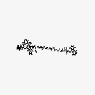 CC(C)(C)OC(=O)NCc1cc(Oc2cccc(C(=O)NCCOCCOCCOCCOCCOCCOCCOCCNC(=O)OCC3c4ccccc4-c4ccccc43)c2)nc(C(F)(F)F)c1